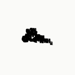 Cc1ncc(-c2ccn3nc(N)nc3c2)cc1C(=O)NCc1ccccc1OCC1CC1